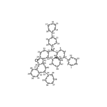 c1ccc(-c2ccc(N(c3ccc(-c4ccccc4)cc3)c3ccc4oc5c6ccccc6c(-c6ccccc6)cc5c4c3-c3ccccc3)cc2)cc1